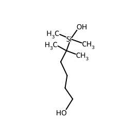 CC(C)(CCCCO)[Si](C)(C)O